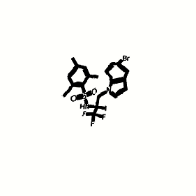 Cc1cc(C)c(S(=O)(=O)NC(I)(Cn2ccc3cc(Br)ccc32)C(F)(F)F)c(C)c1